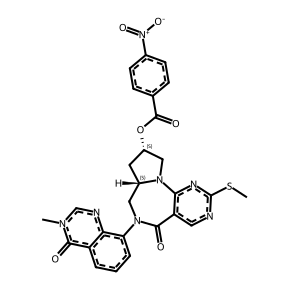 CSc1ncc2c(n1)N1C[C@@H](OC(=O)c3ccc([N+](=O)[O-])cc3)C[C@H]1CN(c1cccc3c(=O)n(C)cnc13)C2=O